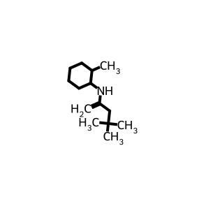 C=C(CC(C)(C)C)NC1CCCCC1C